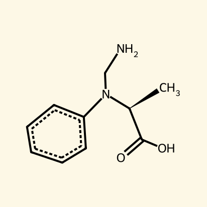 C[C@@H](C(=O)O)N(CN)c1ccccc1